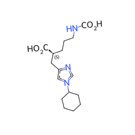 O=C(O)NCCC[C@@H](Cc1cn(C2CCCCC2)cn1)C(=O)O